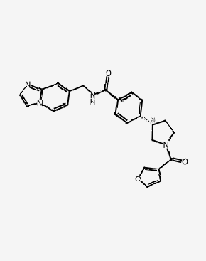 O=C(NCc1ccn2ccnc2c1)c1ccc([C@@H]2CCN(C(=O)c3ccoc3)C2)cc1